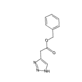 O=C(Cc1c[nH]nn1)OCc1ccccc1